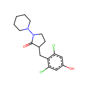 O=C1C(Cc2c(Cl)cc(O)cc2Cl)CCN1N1CCCCC1